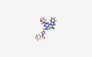 O=C(C1CCOCC1)N1CC(CNc2cc(-n3c(C(F)F)nc4ccccc43)nc(N3CCOCC3)n2)C1